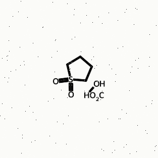 O=C(O)O.O=S1(=O)CCCC1